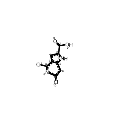 O=C(O)c1cc2c(Cl)nc(Cl)cc2[nH]1